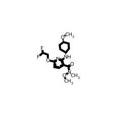 CON(C)C(=O)c1ccc(OCC(F)F)nc1N[C@H]1CC[C@H](OC)CC1